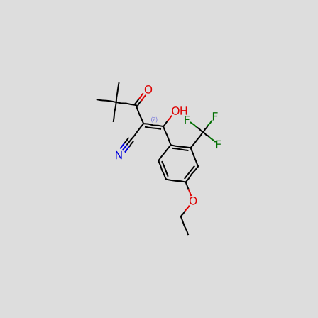 CCOc1ccc(/C(O)=C(\C#N)C(=O)C(C)(C)C)c(C(F)(F)F)c1